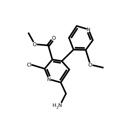 COC(=O)c1c(-c2ccncc2OC)cc(CN)nc1Cl